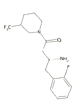 N[C@@H](CC(=O)N1CCCC(C(F)(F)F)C1)Cc1ccccc1F